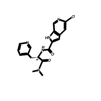 CN(C)C(=O)[C@H](Cc1cccnc1)NC(=O)c1cc2cc(Cl)ncc2[nH]1